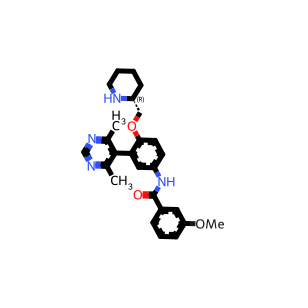 COc1cccc(C(=O)Nc2ccc(OC[C@H]3CCCCN3)c(-c3c(C)ncnc3C)c2)c1